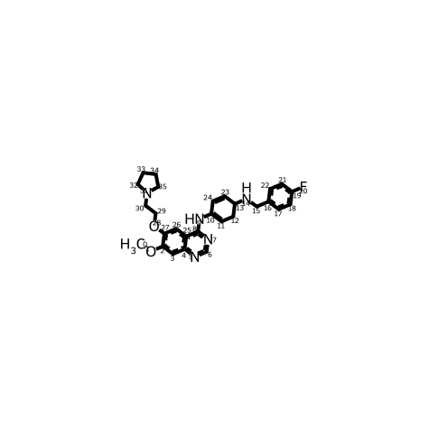 COc1cc2ncnc(NC3=CCC(NCc4ccc(F)cc4)C=C3)c2cc1OCCN1CCCC1